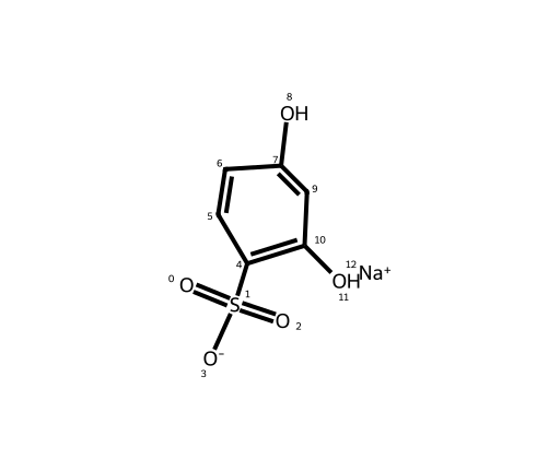 O=S(=O)([O-])c1ccc(O)cc1O.[Na+]